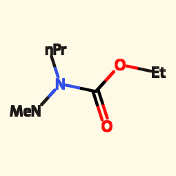 CCCN(NC)C(=O)OCC